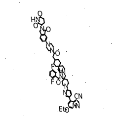 CCOc1cc(-c2ccc(N3CCC(CN4CCC5(CCC(CC(=O)N6CCN(c7ccc8c(c7)C(=O)N(C7CCC(=O)NC7=O)C8)CC6)CC5)CC4)(NC(=O)c4cc(F)ccc4F)CC3)nc2)c2c(C#N)cnn2c1